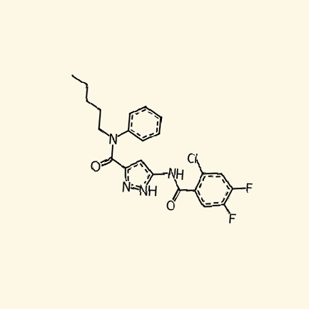 CCCCCN(C(=O)c1cc(NC(=O)c2cc(F)c(F)cc2Cl)[nH]n1)c1ccccc1